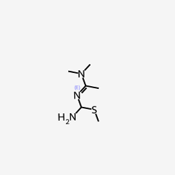 CSC(N)/N=C(\C)N(C)C